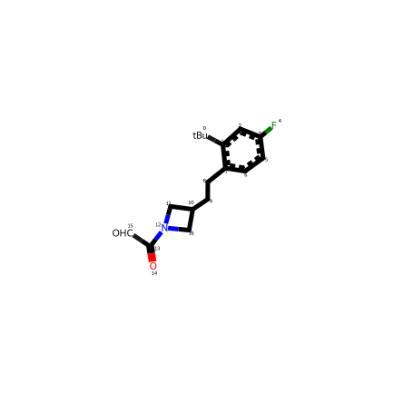 CC(C)(C)c1cc(F)ccc1CCC1CN(C(=O)C=O)C1